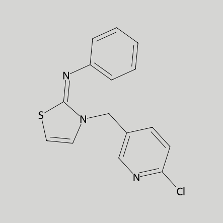 Clc1ccc(Cn2ccs/c2=N/c2ccccc2)cn1